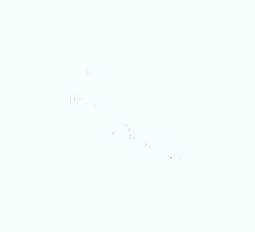 CCCCC(CC)COC(=O)/N=N/C(=O)OCCC